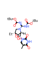 CC[C@]12CN(/C(=N\C(=O)OC(C)(C)C)NC(=O)OC(C)(C)C)[C@@H](C1O)[C@H](n1cc(C)c(=O)[nH]c1=O)O2